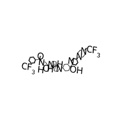 O=C(NCC(=O)N1CC[C@@H]2[C@H]1CCN2C1CCC(O)(c2ccc(N3CCN(CC(F)(F)F)CC3)cn2)CC1)c1cccc(C(F)(F)F)c1